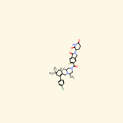 CC1CN(C(=O)c2cc3c(cc2F)C(=O)N(C2CCC(=O)NC2=O)C3)CC(C)N1CC1=C(c2ccc(Cl)cc2)CC(C)(C)CC1